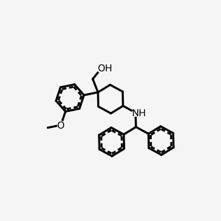 COc1cccc(C2(CO)CCC(NC(c3ccccc3)c3ccccc3)CC2)c1